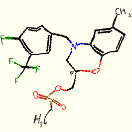 Cc1ccc2c(c1)N(Cc1ccc(F)c(C(F)(F)F)c1)C[C@H](COS(C)(=O)=O)O2